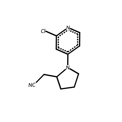 N#CCC1CCCN1c1ccnc(Cl)c1